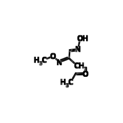 CC=O.CON=C(C)C=NO